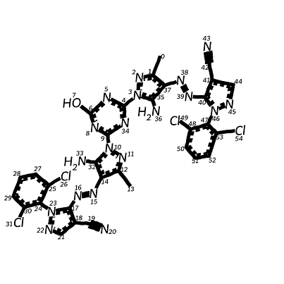 Cc1nn(-c2nc(O)nc(-n3nc(C)c(N=Nc4c(C#N)cnn4-c4c(Cl)cccc4Cl)c3N)n2)c(N)c1N=Nc1c(C#N)cnn1-c1c(Cl)cccc1Cl